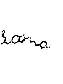 CC(CC=O)CN1CCc2sc(OCCCC3CCNC3)cc2C1